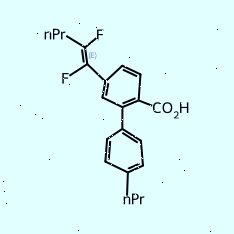 CCC/C(F)=C(\F)c1ccc(C(=O)O)c(-c2ccc(CCC)cc2)c1